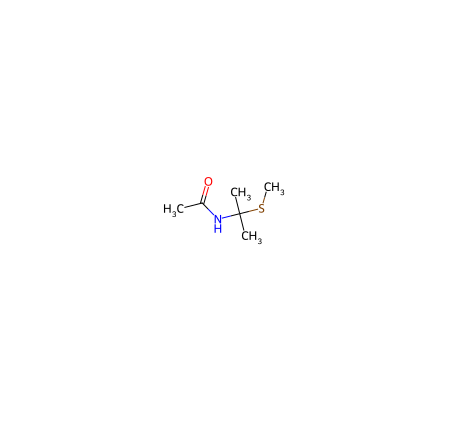 CSC(C)(C)NC(C)=O